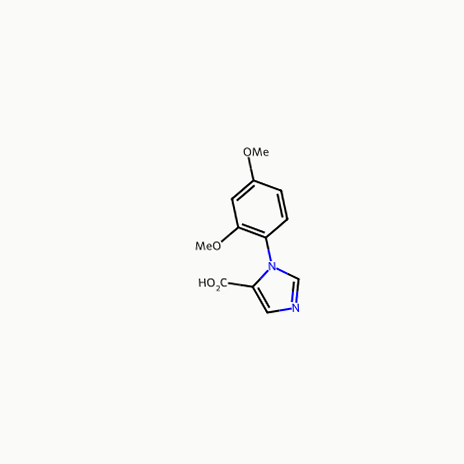 COc1ccc(-n2cncc2C(=O)O)c(OC)c1